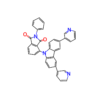 O=C1c2cccc(-n3c4ccc(-c5cccnc5)cc4c4cc(-c5cccnc5)ccc43)c2C(=O)N1c1ccccc1